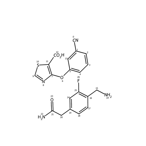 N#Cc1cccc(Oc2ncsc2C(=O)O)c1.NCc1ccc(CC(N)=O)cc1F